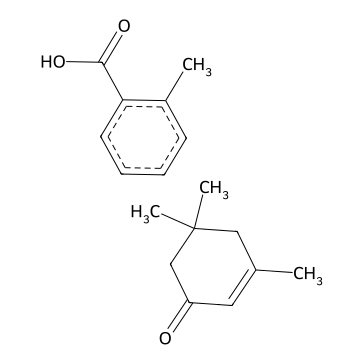 CC1=CC(=O)CC(C)(C)C1.Cc1ccccc1C(=O)O